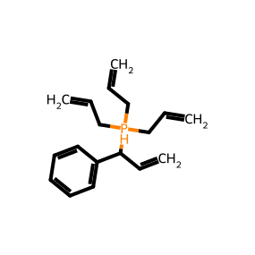 C=CC[PH](CC=C)(CC=C)C(C=C)c1ccccc1